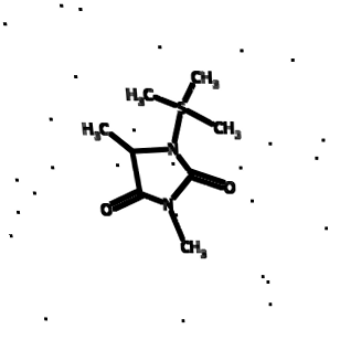 CC1C(=O)N(C)C(=O)N1S(C)(C)C